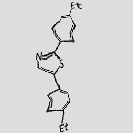 CCc1ccc(-c2cnc(-c3ccc(CC)cc3)s2)cc1